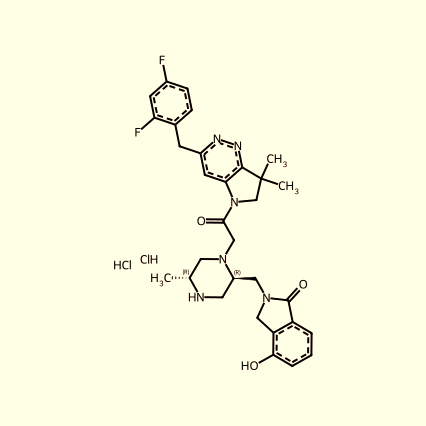 C[C@@H]1CN(CC(=O)N2CC(C)(C)c3nnc(Cc4ccc(F)cc4F)cc32)[C@@H](CN2Cc3c(O)cccc3C2=O)CN1.Cl.Cl